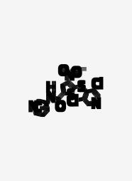 O=C(NC1CN2CCC1CC2)c1cc([N+](=O)[O-])c(Sc2c(Cl)cncc2Cl)s1